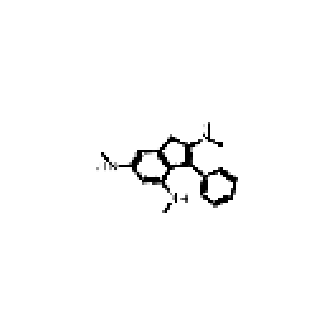 CNC1=C(c2ccccc2)c2c(cc(NC)cc2NC)[CH]1